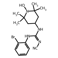 CC1(C)CC(NC(=NC#N)Nc2ccccc2Br)CC(C)(C)N1O